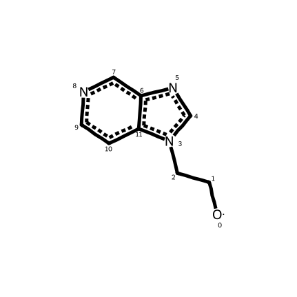 [O]CCn1cnc2cnccc21